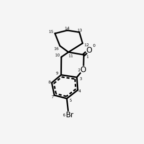 O=C1Oc2cc(Br)ccc2CC12CCCCC2